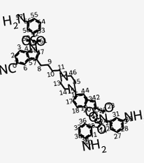 N#Cc1ccc2c(c1)c(CCCCN1CCN(c3ccc4oc(C(=O)N(c5cccc(N)c5)S(=O)(=O)c5cccc(N)c5)cc4c3)CC1)cn2S(=O)(=O)c1cccc(N)c1